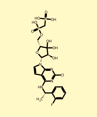 C[C@H](Nc1nc(Cl)nc2c1ccn2[C@@H]1O[C@H](COP(=O)(O)CP(=O)(O)O)C(O)(O)[C@H]1O)c1ccccc1F